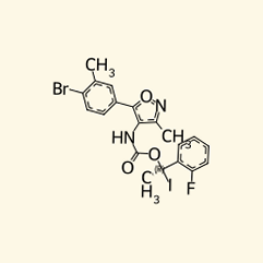 Cc1cc(-c2onc(C)c2NC(=O)O[C@](C)(I)c2ccccc2F)ccc1Br